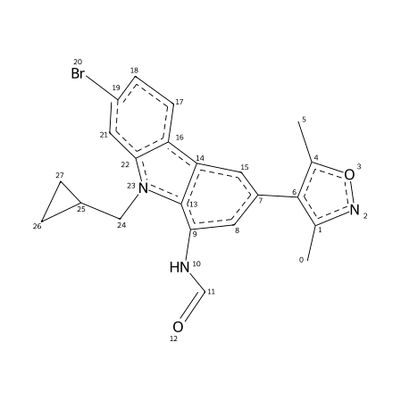 Cc1noc(C)c1-c1cc(NC=O)c2c(c1)c1ccc(Br)cc1n2CC1CC1